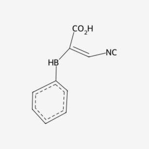 [C-]#[N+]C=C(Bc1ccccc1)C(=O)O